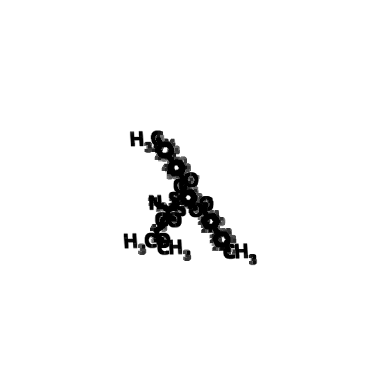 COC(C)CCOC(=O)C(C#N)=C1Sc2c(OC(=O)c3ccc(C4CCC(C)CC4)cc3)ccc(OC(=O)c3ccc(C4CCC(C)CC4)cc3)c2S1